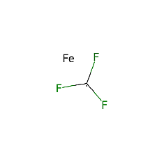 F[C](F)F.[Fe]